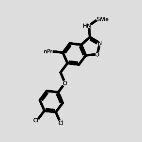 CCCc1cc2c(NSC)noc2cc1COc1ccc(Cl)c(Cl)c1